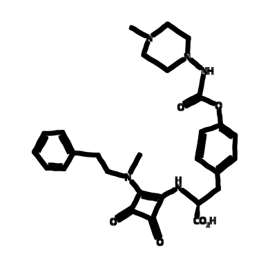 CN1CCN(NC(=O)Oc2ccc(C[C@H](Nc3c(N(C)CCc4ccccc4)c(=O)c3=O)C(=O)O)cc2)CC1